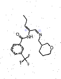 CC/C=C(\C=N/CC1CCCOC1)NC(=O)c1cccc(C(F)(F)F)c1